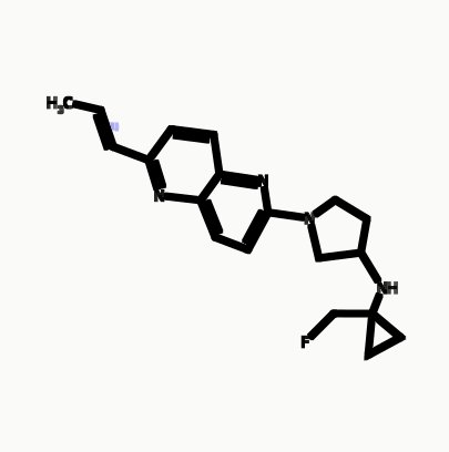 C/C=C/c1ccc2nc(N3CCC(NC4(CF)CC4)C3)ccc2n1